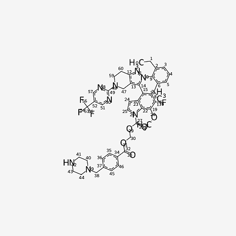 CCc1cccc(CC)c1-n1nc2c(c1-c1cc(F)c(OC)c3c1ccn3C(=O)OCOC(=O)c1ccc(CN3CCNCC3)cc1)CN(c1ncc(C(F)(F)F)cn1)CC2